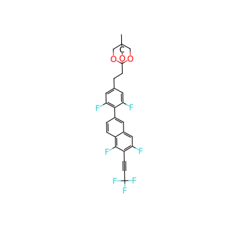 CC12COC(CCc3cc(F)c(-c4ccc5c(F)c(C#CC(F)(F)F)c(F)cc5c4)c(F)c3)(OC1)OC2